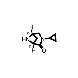 O=C1[C@H]2C[C@@H](CN1C1CC1)N2